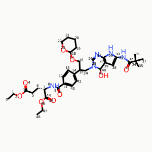 CCOC(=O)CC[C@H](NC(=O)c1ccc(C(COC2CCCCO2)CN2C=Nc3[nH]c(NC(=O)C(C)(C)C)cc3C2O)cc1)C(=O)OCC